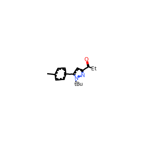 CCC(=O)c1cc(-c2ccc(C)cc2)n(C(C)(C)C)n1